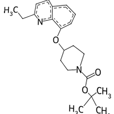 CCc1ccc2cccc(OC3CCN(C(=O)OC(C)(C)C)CC3)c2n1